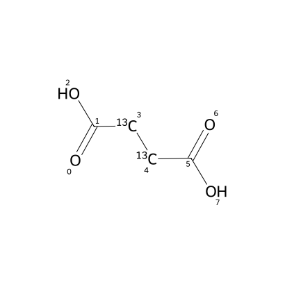 O=C(O)[13CH2][13CH2]C(=O)O